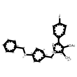 CC(=O)Oc1c(-c2ccc(F)cc2)nn(Cc2ccc(OCc3ccccc3)cc2)c1C